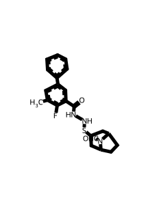 Cc1cc(-c2ccccc2)cc(C(=O)NNSC2CC3CCC(C2)N3C=O)c1F